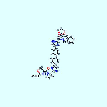 COC(=O)N[C@H](C(=O)N1CCC[C@H]1c1nc(-c2ccc(-c3ccc(-c4c[nH]c([C@@H]5CC6(OCCCO6)C(Cc6ccccc6)N5C(=O)O)n4)cc3)cc2)c[nH]1)C(C)C